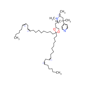 C/C=C(\CC(C)(C)c1ccncc1)N(C)CCC1COC(CCCCCCCC/C=C\C/C=C\CCCCC)(CCCCCCCC/C=C\C/C=C\CCCCC)O1